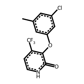 Cc1cc(Cl)cc(Oc2c(C(F)(F)F)cc[nH]c2=O)c1